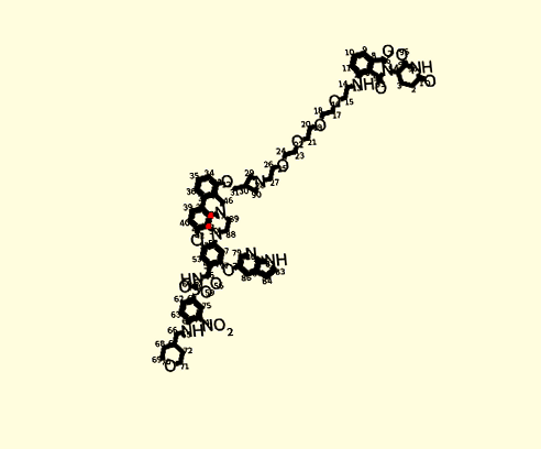 O=C1CCC(N2C(=O)c3cccc(NCCOCCOCCOCCOCCN4CC(COc5cccc(-c6ccc(Cl)cc6)c5CN5CCN(c6ccc(C(=O)NS(=O)(=O)c7ccc(NCC8CCOCC8)c([N+](=O)[O-])c7)c(Oc7cnc8[nH]ccc8c7)c6)CC5)C4)c3C2=O)C(=O)N1